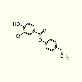 C=Cc1ccc(OC(=O)c2ccc(O)c(Cl)c2)cc1